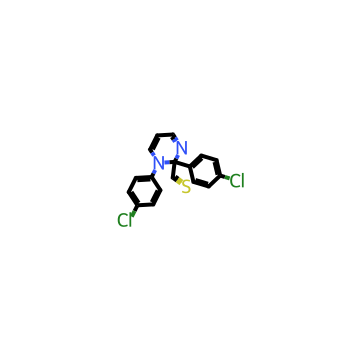 S=CC1(c2ccc(Cl)cc2)N=CC=CN1c1ccc(Cl)cc1